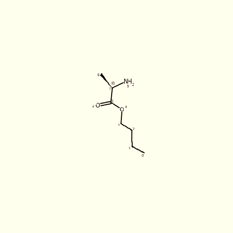 CCCCOC(=O)[C@@H](C)N